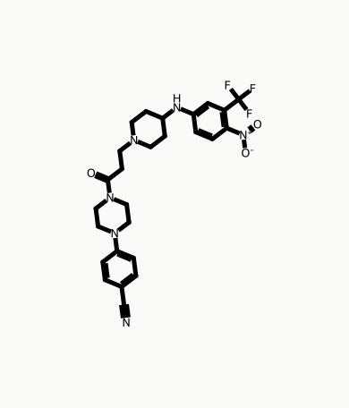 N#Cc1ccc(N2CCN(C(=O)CCN3CCC(Nc4ccc([N+](=O)[O-])c(C(F)(F)F)c4)CC3)CC2)cc1